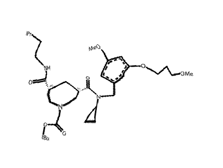 COCCCOc1cc(CN(C(=O)[C@H]2C[C@@H](C(=O)NCCC(C)C)CN(C(=O)OC(C)(C)C)C2)C2CC2)cc(OC)c1